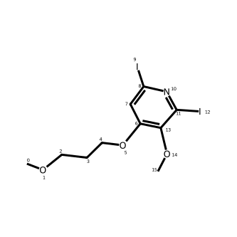 COCCCOc1cc(I)nc(I)c1OC